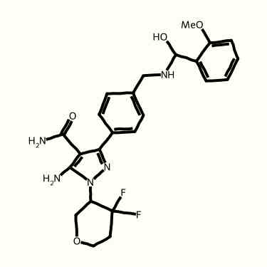 COc1ccccc1C(O)NCc1ccc(-c2nn(C3COCCC3(F)F)c(N)c2C(N)=O)cc1